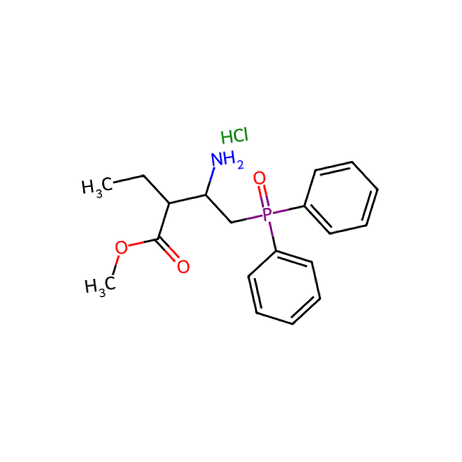 CCC(C(=O)OC)C(N)CP(=O)(c1ccccc1)c1ccccc1.Cl